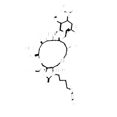 C=CC[C@@]1(OC)C[C@@H](C)CN[C@H](C)[C@H]2N(CCCCN=[N+]=[N-])C(=O)O[C@]2(C)[C@@H](CC)OC(=O)[C@H](C)C(=O)[C@@H](C)[C@H]1O[C@@H]1OC(C)CC(N(C)C)C1P=O